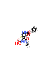 O=C(O)Nc1sc2c(c1C(=O)NCC1CC1)CC(NC(=O)OCc1ccccc1)CC2